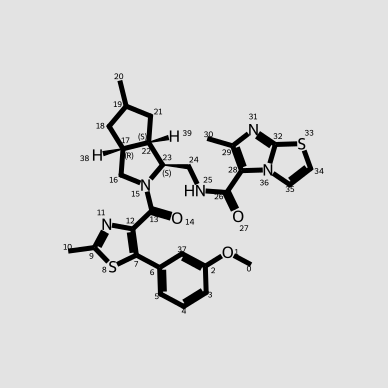 COc1cccc(-c2sc(C)nc2C(=O)N2C[C@@H]3CC(C)C[C@@H]3[C@H]2CNC(=O)c2c(C)nc3sccn23)c1